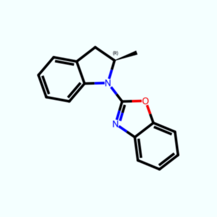 C[C@@H]1Cc2ccccc2N1c1nc2ccccc2o1